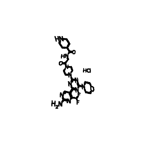 Cl.Nc1ncc(-c2nc(N3CCOCC3)nc(N3CCN(C(=O)CNC(=O)C4CCNCC4)CC3)n2)c(C(F)F)n1